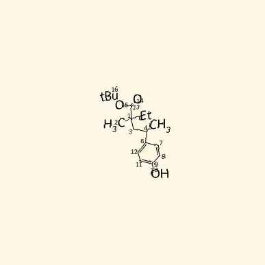 CCC(C)(CC(C)c1ccc(O)cc1)C(=O)OC(C)(C)C